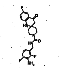 Nc1c(F)ccc(CNC(=O)N2CCC3(CC2)CC(=O)c2cc(F)ccc2N3)c1F